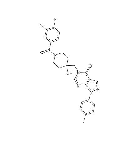 O=C(c1ccc(F)c(F)c1)N1CCC(O)(Cn2cnc3c(cnn3-c3ccc(F)cc3)c2=O)CC1